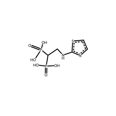 O=P(O)(O)C(CNc1nccs1)P(=O)(O)O